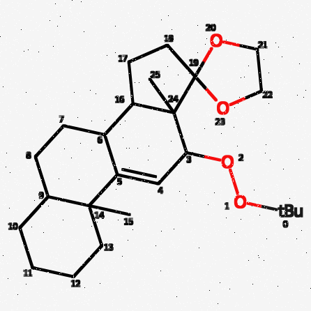 CC(C)(C)OOC1C=C2C(CCC3CCCCC23C)C2CCC3(OCCO3)C12C